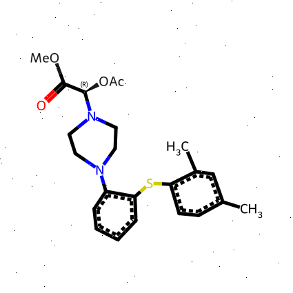 COC(=O)[C@@H](OC(C)=O)N1CCN(c2ccccc2Sc2ccc(C)cc2C)CC1